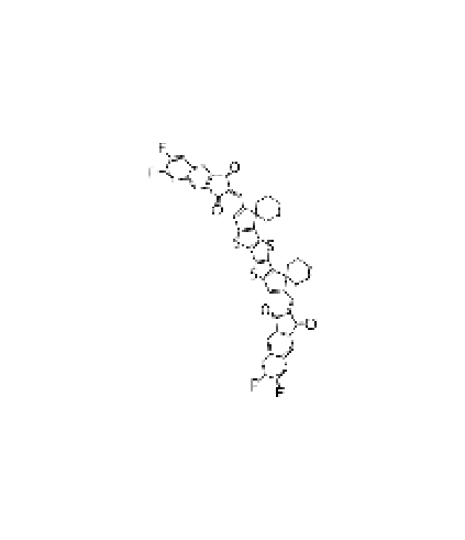 O=C1C(=CC2=Cc3sc4c(sc5c6c(sc54)C=C(C=C4C(=O)c5cc7cc(F)c(F)cc7cc5C4=O)C64CCCCC4)c3C23CCCCC3)C(=O)c2cc3cc(F)c(F)cc3cc21